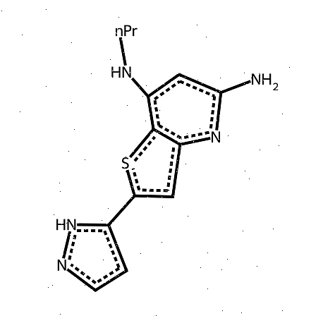 CCCNc1cc(N)nc2cc(-c3ccn[nH]3)sc12